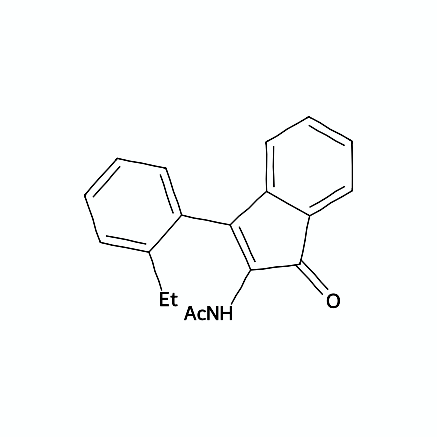 CCc1ccccc1C1=C(NC(C)=O)C(=O)c2ccccc21